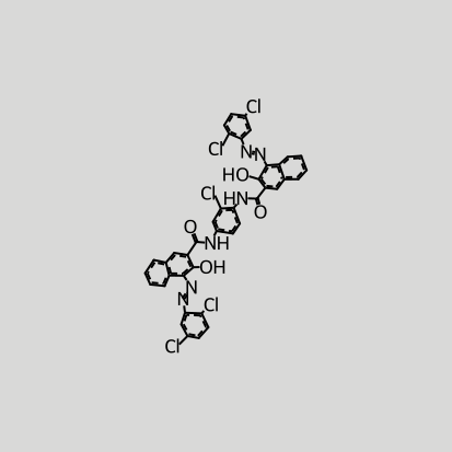 O=C(Nc1ccc(NC(=O)c2cc3ccccc3c(/N=N/c3cc(Cl)ccc3Cl)c2O)c(Cl)c1)c1cc2ccccc2c(/N=N/c2cc(Cl)ccc2Cl)c1O